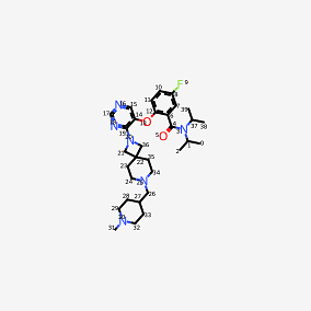 CC(C)N(C(=O)c1cc(F)ccc1Oc1cncnc1N1CC2(CCN(CC3CCN(C)CC3)CC2)C1)C(C)C